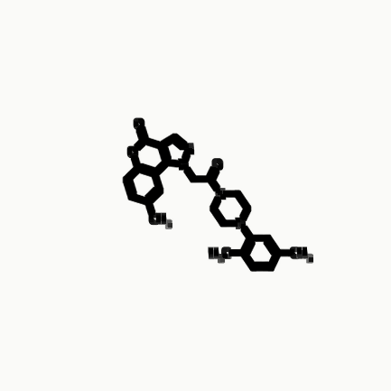 Cc1ccc(C)c(N2CCN(C(=O)Cn3ncc4c(=O)oc5ccc(C)cc5c43)CC2)c1